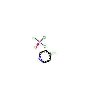 Cl.O=P(Cl)(Cl)Cl.c1ccncc1